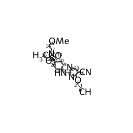 C#CCOc1nc(Nc2ccc(S(=O)(=O)N(C)CCOC)cc2)ncc1C#N